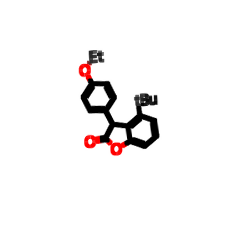 CCOc1ccc(C2C(=O)Oc3cccc(C(C)(C)C)c32)cc1